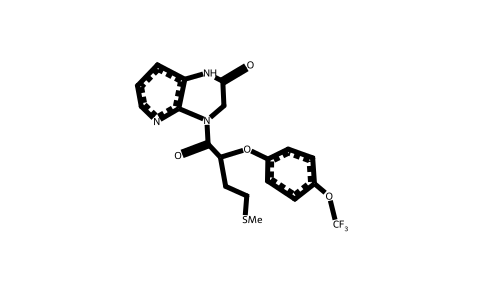 CSCCC(Oc1ccc(OC(F)(F)F)cc1)C(=O)N1CC(=O)Nc2cccnc21